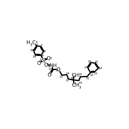 Cc1ccc(S(=O)(=O)ONC(=O)OCCCC(C)(C)CCCc2ccccc2)cc1